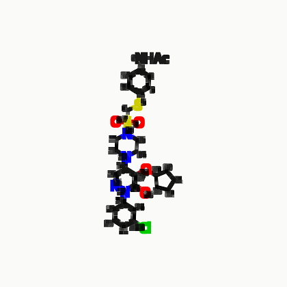 CC(=O)Nc1ccc(SCS(=O)(=O)N2CCN(c3cnn(-c4cccc(Cl)c4)c(=O)c3OC3CCCC3)CC2)cc1